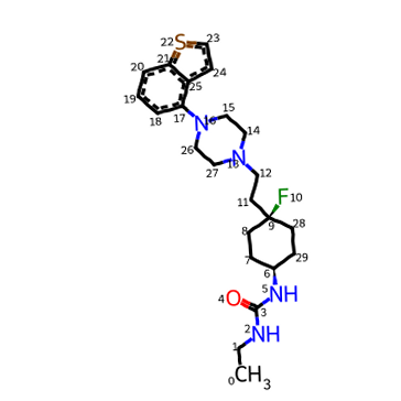 CCNC(=O)N[C@H]1CC[C@](F)(CCN2CCN(c3cccc4sccc34)CC2)CC1